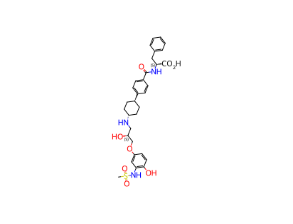 CS(=O)(=O)Nc1cc(OC[C@@H](O)CN[C@H]2CC[C@H](c3ccc(C(=O)N[C@@H](Cc4ccccc4)C(=O)O)cc3)CC2)ccc1O